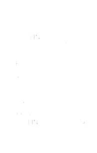 CC1(C)Cc2cc(C(C)(C)CCC3(C)Cc4cc(C(C)(C)C)ccc4NC3=O)c(F)cc2NC1=O